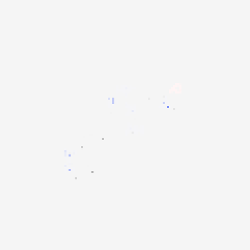 CC1(C(=O)N2CCCC2)CC(Nc2ncc3c(-c4ccc5nnccc5c4)c[nH]c3n2)C1